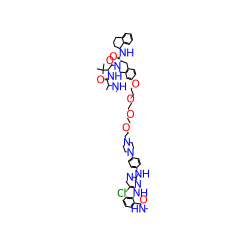 CNC(=O)c1ccccc1Nc1nc(Nc2ccc(N3CCN(CCOCCOCCOCCOc4ccc5c(c4)CN(C(=O)C(NC(=O)C(C)NC)C(C)(C)C)[C@H](C(=O)N[C@@H]4CCCc6ccccc64)C5)CC3)cc2)ncc1Cl